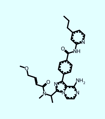 CCCc1ccnc(NC(=O)c2ccc(-c3nc(C(C)N(C)C(=O)C=CCOC)n4ccnc(N)c34)cc2)c1